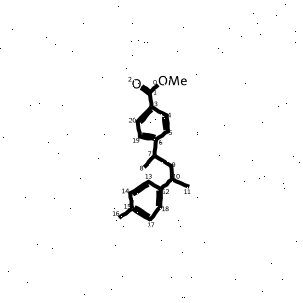 COC(=O)c1ccc(C(C)CC(C)c2ccc(C)cc2)cc1